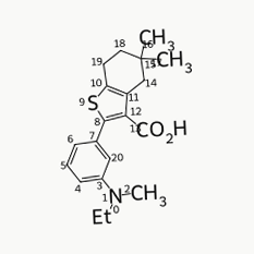 CCN(C)c1cccc(-c2sc3c(c2C(=O)O)CC(C)(C)CC3)c1